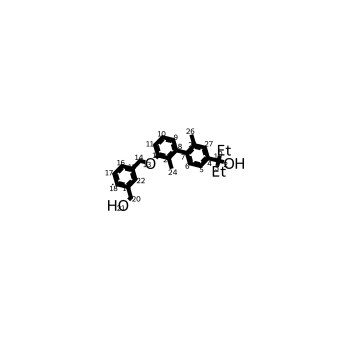 CCC(O)(CC)c1ccc(-c2cccc(OCc3cc[c]c(CO)c3)c2C)c(C)c1